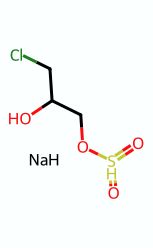 O=[SH](=O)OCC(O)CCl.[NaH]